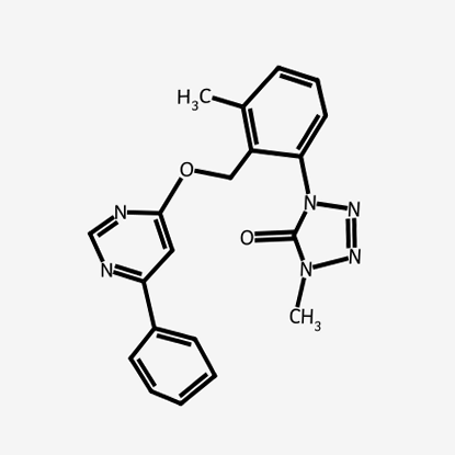 Cc1cccc(-n2nnn(C)c2=O)c1COc1cc(-c2ccccc2)ncn1